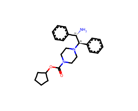 N[C@@H](c1ccccc1)[C@@H](c1ccccc1)N1CCN(C(=O)OC2CCCC2)CC1